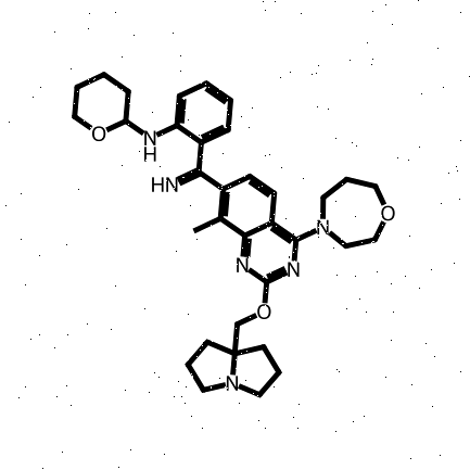 Cc1c(C(=N)c2ccccc2NC2CCCCO2)ccc2c(N3CCCOCC3)nc(OCC34CCCN3CCC4)nc12